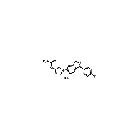 Cc1cc2c(cnn2-c2ccc(F)cc2)cc1N1CCC(OC(N)=O)C1